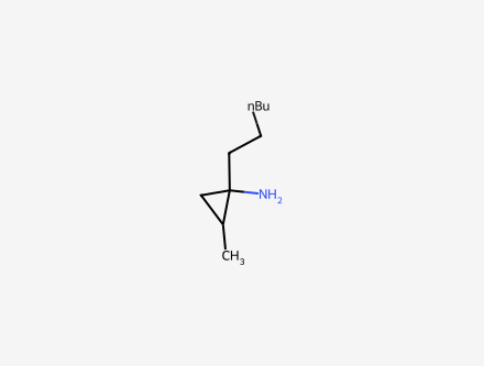 CCCCCCC1(N)CC1C